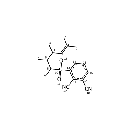 CC(C)=CC(C)C(C)C(C)S(=O)(=O)c1cccc(C#N)c1C#N